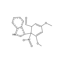 COC1=CC(C=O)C(c2c[nH]c3ccccc23)([N+](=O)[O-])C(OC)=C1